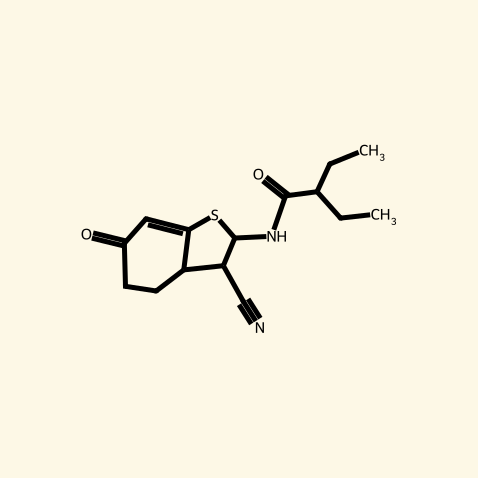 CCC(CC)C(=O)NC1SC2=CC(=O)CCC2C1C#N